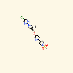 CS(=O)(=O)N1CC=C(c2ccc(OC[C@@H]3C4CN(c5ncc(Cl)cn5)C[C@H]43)cn2)CC1